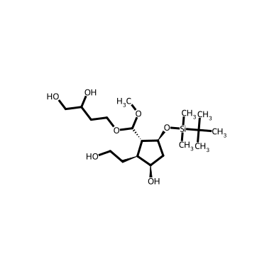 COC(OCCC(O)CO)[C@H]1[C@H](CCO)[C@H](O)C[C@@H]1O[Si](C)(C)C(C)(C)C